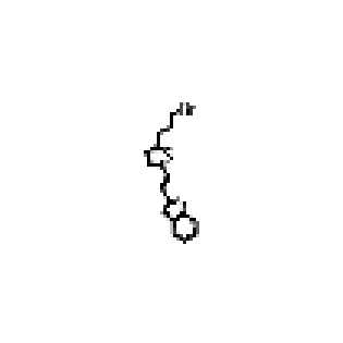 BrCCCc1ccc(C=Cc2cc3ccccc3s2)s1